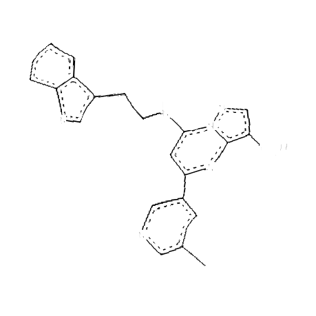 O=C(O)c1cnn2c(NCCc3c[nH]c4ccccc34)cc(-c3cncc(F)c3)nc12